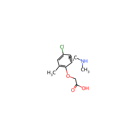 CNC.Cc1cc(Cl)ccc1OCC(=O)O